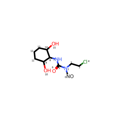 O=NN(CCCl)C(=O)NC1C(O)CCCC1O